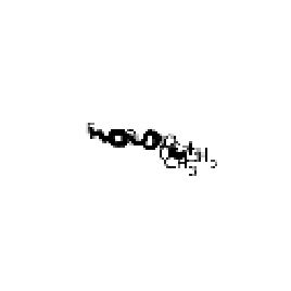 CC=CC(C)(C)OC(=O)N1CCC=C(COc2ccc(CCCF)cc2)CC1